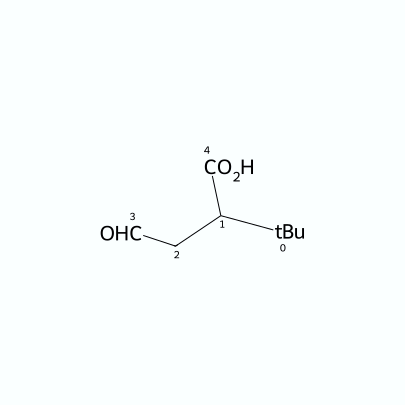 CC(C)(C)C(CC=O)C(=O)O